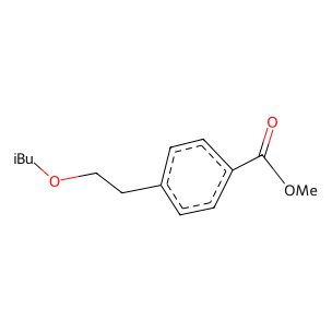 CCC(C)OCCc1ccc(C(=O)OC)cc1